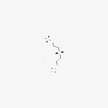 O=S(=O)(CCOS(=O)(=O)[O-])CCOS(=O)(=O)[O-].[Li+].[Li+]